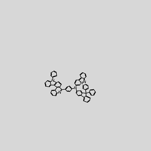 c1ccc(-n2c3ccccc3c3c4c(ccc32)c(-c2ccc(N(c3ccc5c(c3)C(c3ccccc3)(c3ccccc3)c3ccccc3-5)c3ccc5c6ccccc6nn5c3)cc2)nc2ccccc24)cc1